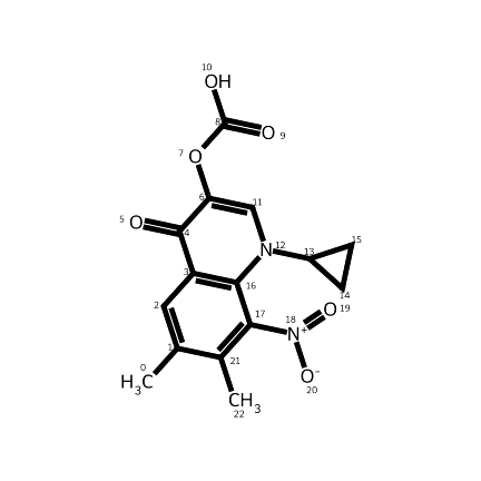 Cc1cc2c(=O)c(OC(=O)O)cn(C3CC3)c2c([N+](=O)[O-])c1C